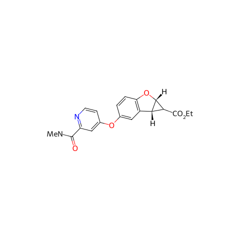 CCOC(=O)C1[C@H]2Oc3ccc(Oc4ccnc(C(=O)NC)c4)cc3[C@@H]12